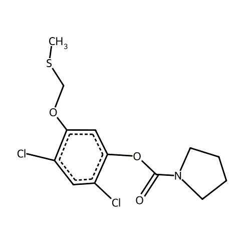 CSCOc1cc(OC(=O)N2CCCC2)c(Cl)cc1Cl